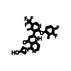 Cc1c(Oc2ncc(C(F)(F)F)c(C)c2-c2cc(=O)c3c(N4CC(O)C4)nccc3[nH]2)ccc(F)c1F